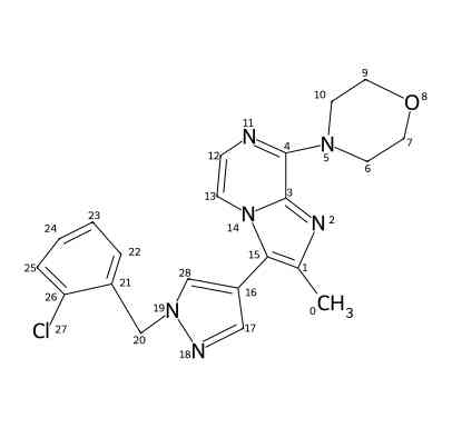 Cc1nc2c(N3CCOCC3)nccn2c1-c1cnn(Cc2ccccc2Cl)c1